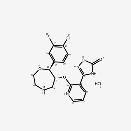 Cl.O=c1[nH]c(-c2cccnc2O[C@@H]2CNCCO[C@H]2c2ccc(Cl)c(F)c2)no1